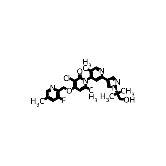 Cc1cnc(COc2cc(C)n(-c3cc(-c4cnn(C(C)(C)CO)c4)ncc3C)c(=O)c2Cl)c(F)c1